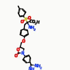 Cc1ccc(S(=O)(=O)C(N)(Cc2ccc(OCC3CN(c4ccc(C(=N)N)cc4)C(=O)O3)cc2)C(=O)O)cc1